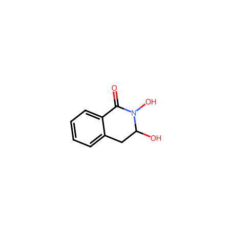 O=C1c2ccccc2CC(O)N1O